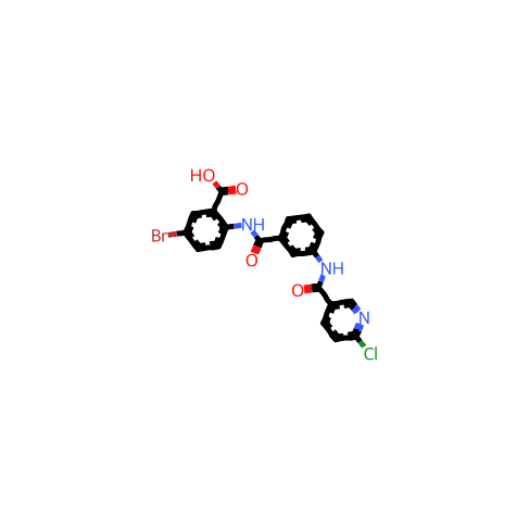 O=C(Nc1cccc(C(=O)Nc2ccc(Br)cc2C(=O)O)c1)c1ccc(Cl)nc1